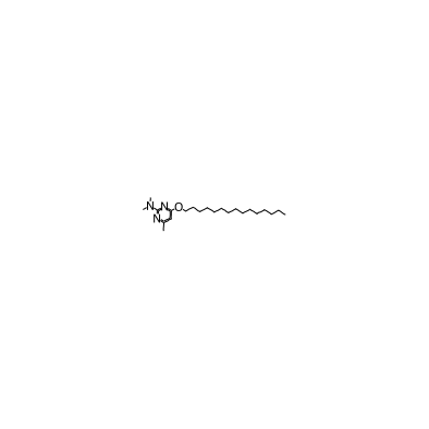 CCCCCCCCCCCCCCCOc1cc(C)nc(N(C)C)n1